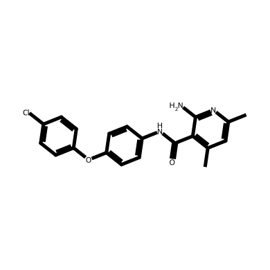 Cc1cc(C)c(C(=O)Nc2ccc(Oc3ccc(Cl)cc3)cc2)c(N)n1